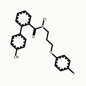 CCN(CCCOc1ccc(F)cc1)C(=O)c1ccccc1-c1ccc(C#N)cc1